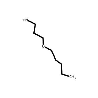 CCCCCOCCC[NH]